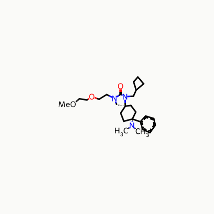 COCCOCCN1C[C@]2(CC[C@@](c3ccccc3)(N(C)C)CC2)N(CC2CCC2)C1=O